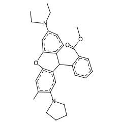 CCN(CC)c1ccc2c(c1)Oc1cc(C)c(N3CCCC3)cc1C2c1ccccc1C(=O)OC